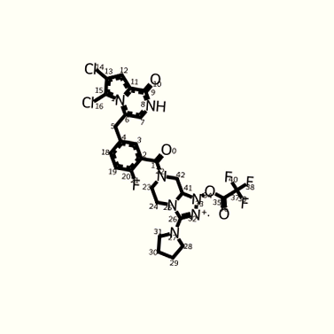 O=C(c1cc(Cc2c[nH]c(=O)c3cc(Cl)c(Cl)n23)ccc1F)N1CCN2C(N3CCCC3)=[N+]N(OC(=O)C(F)(F)F)C2C1